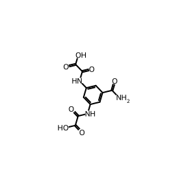 NC(=O)c1cc(NC(=O)C(=O)O)cc(NC(=O)C(=O)O)c1